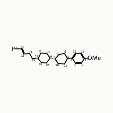 COc1ccc(C2CCC([C@H]3CC[C@H](CC/C=C/F)CC3)CC2)cc1